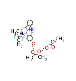 CCOC(=O)COCCO[C@@H](C)[C@H](C)OCCOc1cc(F)c([C@@H]2c3[nH]c4ccccc4c3C[C@@H](C)N2CC(C)(C)F)c(F)c1